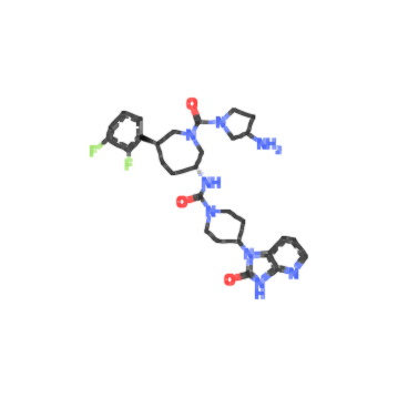 NC1CCN(C(=O)N2C[C@H](NC(=O)N3CCC(n4c(=O)[nH]c5ncccc54)CC3)CC[C@@H](c3cccc(F)c3F)C2)C1